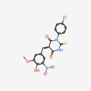 COc1cc(C=C2C(=O)NC(=S)N(c3ccc(Cl)cc3)C2=O)cc([N+](=O)[O-])c1O